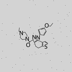 CCOc1ccc(-n2nc(C(=O)N3CCN(CC)CC3)c3c2-c2ccsc2CC3)cc1